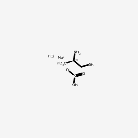 Cl.N[C@@H](CS)C(=O)O.O=S([O-])O.[Na+]